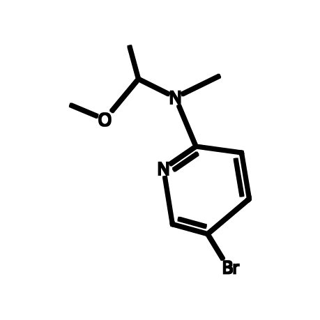 COC(C)N(C)c1ccc(Br)cn1